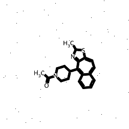 CC(=O)N1CCC(C2=c3ccccc3=CC=C3SC(C)N=C32)CC1